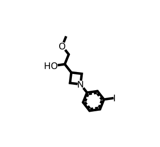 COCC(O)C1CN(c2cccc(I)c2)C1